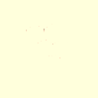 CCCC(=O)C(OC)C1C=CCC=C1C